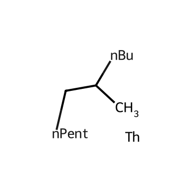 CCCCCCC(C)CCCC.[Th]